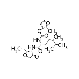 CCC1OCC(=O)C1NC(=O)[C@H](CCC(C)C(C)C)NC(=O)Oc1ccoc1C